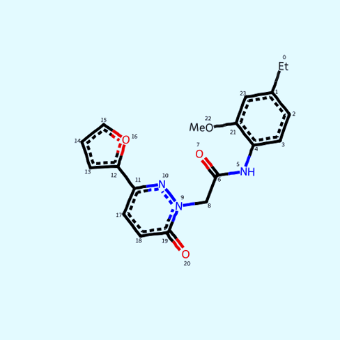 CCc1ccc(NC(=O)Cn2nc(-c3ccco3)ccc2=O)c(OC)c1